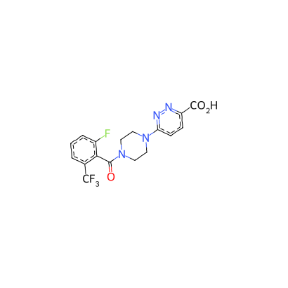 O=C(O)c1ccc(N2CCN(C(=O)c3c(F)cccc3C(F)(F)F)CC2)nn1